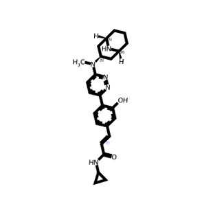 CN(c1ccc(-c2ccc(/C=C/C(=O)NC3CC3)cc2O)nn1)[C@@H]1C[C@H]2CCC[C@@H](C1)N2